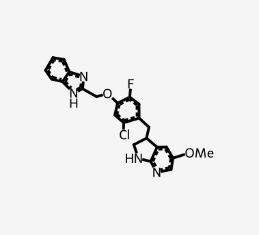 COc1cnc2c(c1)C(Cc1cc(F)c(OCc3nc4ccccc4[nH]3)cc1Cl)CN2